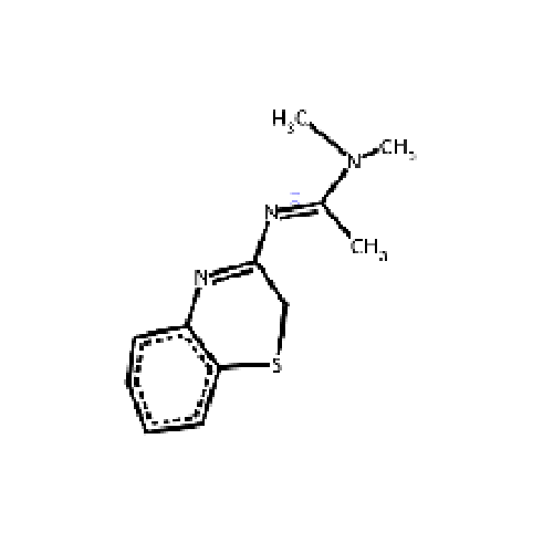 C/C(=N\C1=Nc2ccccc2SC1)N(C)C